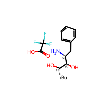 CCCC[C@H](O)[C@H](O)[C@@H](N)Cc1ccccc1.O=C(O)C(F)(F)F